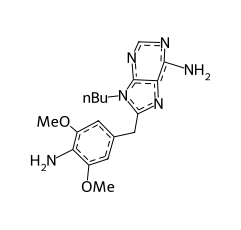 CCCCn1c(Cc2cc(OC)c(N)c(OC)c2)nc2c(N)ncnc21